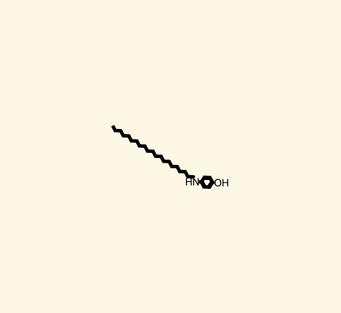 CCCCCCCCCCCCCCCCCCCCCNc1ccc(O)cc1